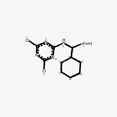 CCCCCC(Nc1nc(Cl)nc(Cl)n1)C1CCCCC1